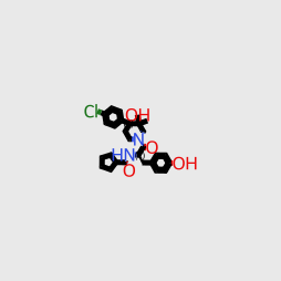 CC1(C)CN(C(=O)[C@@H](Cc2ccc(O)cc2)NC(=O)C2CCCC2)CC[C@]1(O)c1ccc(Cl)cc1